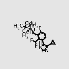 CC(C)(C)[Si](C)(C)OCc1c(F)ccc(-c2[nH]cnc2C2CC2)c1C(F)F